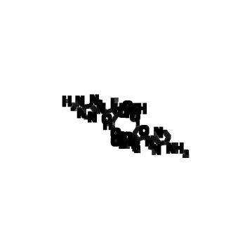 B[P@@]1(=O)OC[C@H]2O[C@@H](n3cnc4c(N)ncnc43)[C@H](F)[C@@H]2O[P@@](=O)(S)OCC2O[C@@H](n3cnc4c(N)ccnc43)[C@H](F)[C@@H]2O1